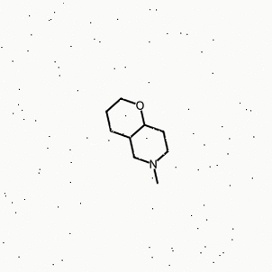 CN1CCC2OCCCC2C1